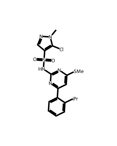 CSc1cc(-c2ccccc2C(C)C)nc(NS(=O)(=O)c2cnn(C)c2Cl)n1